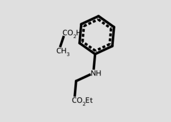 CC(=O)O.CCOC(=O)CNc1ccccc1